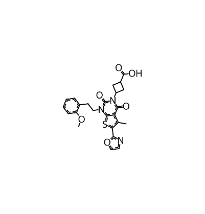 COc1ccccc1CCn1c(=O)n(C2CC(C(=O)O)C2)c(=O)c2c(C)c(-c3ncco3)sc21